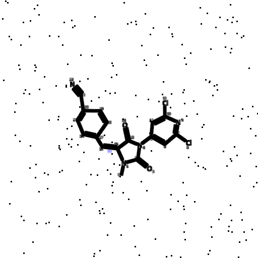 CN1C(=O)N(c2cc(Cl)nc(Cl)c2)C(=O)/C1=C\c1ccc(C#N)cc1